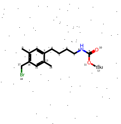 Cc1cc(CCCCNC(=O)OC(C)(C)C)c(C)cc1CBr